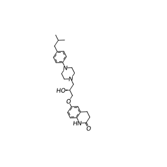 CC(C)Cc1ccc(N2CCN(C[C@H](O)COc3ccc4c(c3)CCC(=O)N4)CC2)cc1